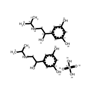 CC(C)NCC(O)c1cc(O)cc(O)c1.CC(C)NCC(O)c1cc(O)cc(O)c1.O=S(=O)(O)O